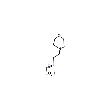 O=C(O)/C=C/CCN1CCOCC1